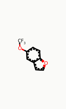 FC(F)(F)Oc1ccc2occc2c1